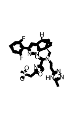 Cc1nnc(CCN(C[C@@]23CC[C@@H](c4cc(-c5c(F)cccc5F)nnc42)C3(C)C)C(=O)c2coc(CS(C)(=O)=O)n2)[nH]1